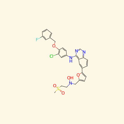 CS(=O)(=O)CCN(O)Cc1ccc(-c2ccc3ncnc(Nc4ccc(OCc5cccc(F)c5)c(Cl)c4)c3c2)o1